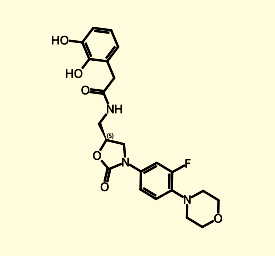 O=C(Cc1cccc(O)c1O)NC[C@H]1CN(c2ccc(N3CCOCC3)c(F)c2)C(=O)O1